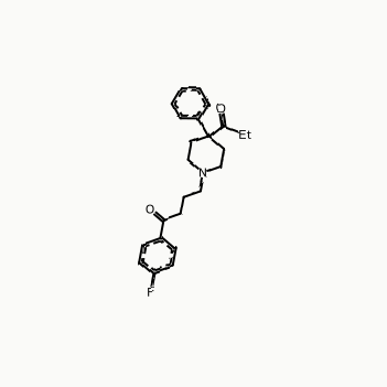 CCC(=O)C1(c2ccccc2)CCN(CCCC(=O)c2ccc(F)cc2)CC1